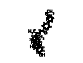 COc1cccc(N2CCN(C(=O)CC[C@@H](C)[C@H]3CC[C@H]4[C@@H]5CC=C6C[C@@H](O)CC[C@]6(C)[C@H]5CC[C@]34C)CC2)n1